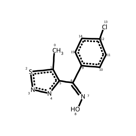 Cc1snnc1C(=NO)c1ccc(Cl)cc1